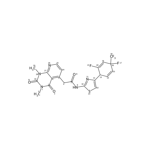 Cn1c(=O)c2c(CC(=O)Nc3nc(C4C=CC(F)(C(F)(F)F)C=C4F)cs3)ccnc2n(C)c1=O